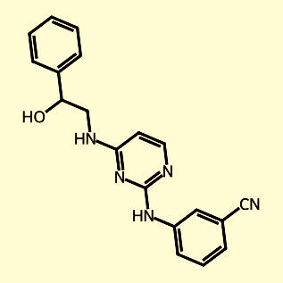 N#Cc1cccc(Nc2nccc(NCC(O)c3ccccc3)n2)c1